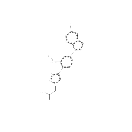 CC(C)Nc1cc(-n2ncc3cc(C#N)cnc32)ncc1-c1cn(CC(O)C(C)C)nn1